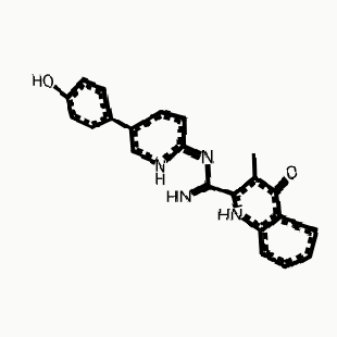 Cc1c(C(=N)/N=c2/ccc(-c3ccc(O)cc3)c[nH]2)[nH]c2ccccc2c1=O